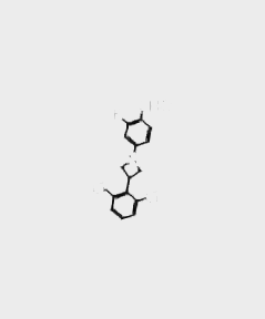 O=Cc1ccc(N2CC(c3c(Cl)cccc3Cl)C2)cc1F